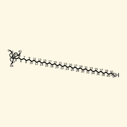 CCO[Si](CCCCCCCCCCCCCCCCCCCCCCCCCCCCCCCCCCCCCCS)(OCC)OCC